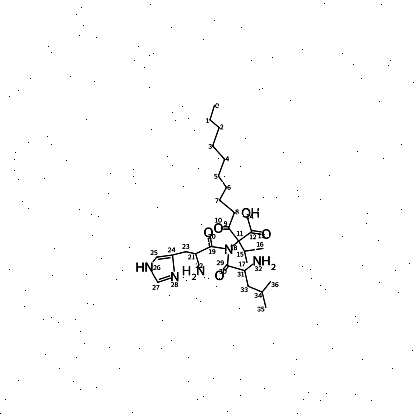 CCCCCCCCCC(=O)C(C(=O)O)(C(C)C)N(C(=O)C(N)Cc1c[nH]cn1)C(=O)C(N)CC(C)C